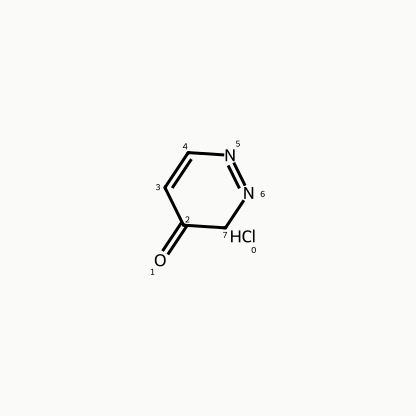 Cl.O=C1C=CN=NC1